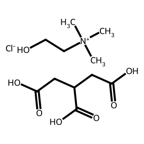 C[N+](C)(C)CCO.O=C(O)CC(CC(=O)O)C(=O)O.[Cl-]